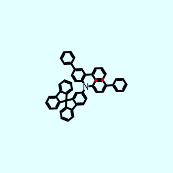 c1ccc(-c2ccc(N(c3ccc4c(c3)C3(c5ccccc5-c5ccccc53)c3ccccc3-4)c3ccc(-c4ccccc4)cc3-c3ccccc3)cc2)cc1